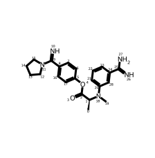 C[C@@H](C(=O)Oc1ccc(C(=N)N2CCCC2)cc1)N(C)c1cccc(C(=N)N)c1